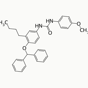 CCCCc1cc(NC(=O)Nc2ccc(OC)cc2)ccc1OC(c1ccccc1)c1ccccc1